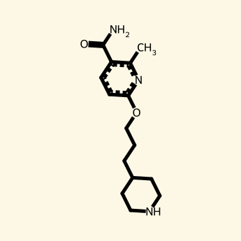 Cc1nc(OCCCC2CCNCC2)ccc1C(N)=O